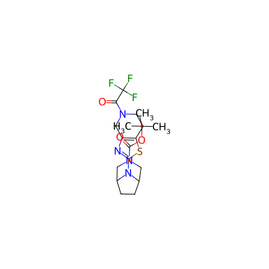 CC(C)(C)OC(=O)N1CC2CCC(C1)N2c1nc2c(s1)CCN(C(=O)C(F)(F)F)C2